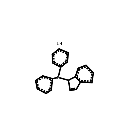 C1=Cc2ccccc2[C]1P(c1ccccc1)c1ccccc1.[LiH]